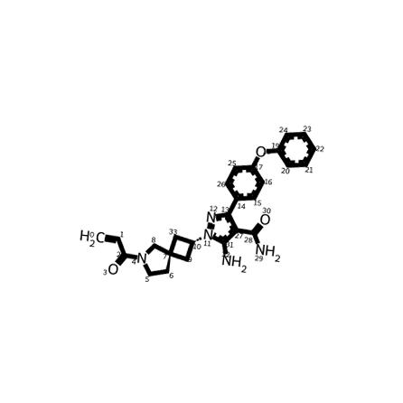 C=CC(=O)N1CC[C@]2(C1)C[C@@H](n1nc(-c3ccc(Oc4ccccc4)cc3)c(C(N)=O)c1N)C2